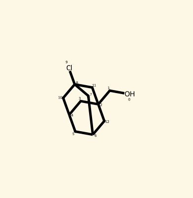 OCC12CC3CC(CC(Cl)(C3)C1)C2